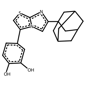 Oc1ccc(-c2csc3nc(C45CC6CC(CC(C6)C4)C5)cn23)cc1O